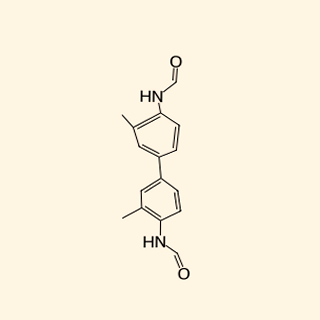 Cc1cc(-c2ccc(NC=O)c(C)c2)ccc1NC=O